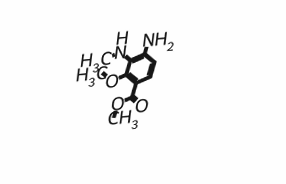 CNc1c(N)ccc(C(=O)OC)c1OC